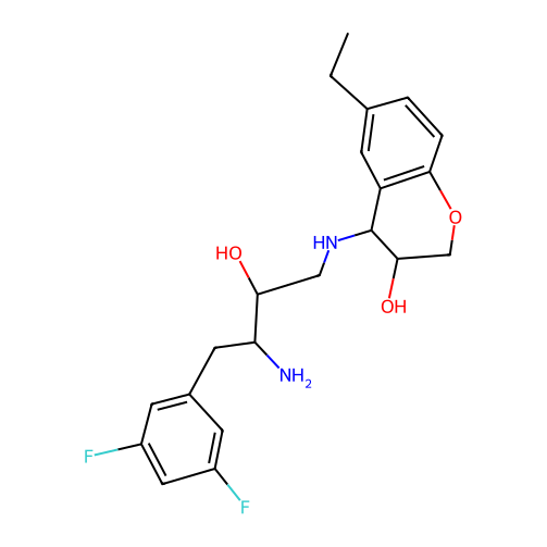 CCc1ccc2c(c1)C(NCC(O)C(N)Cc1cc(F)cc(F)c1)C(O)CO2